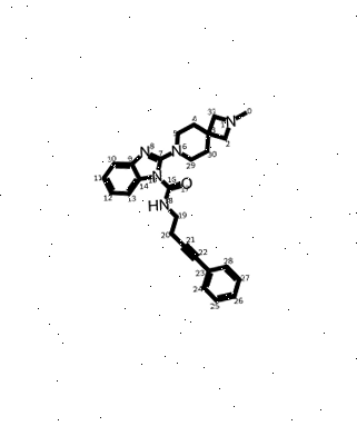 CN1CC2(CCN(c3nc4ccccc4n3C(=O)NCCC#Cc3ccccc3)CC2)C1